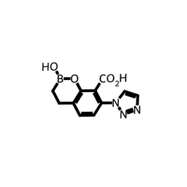 O=C(O)c1c(-n2ccnn2)ccc2c1OB(O)CC2